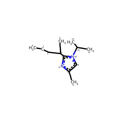 CCCC(C)c1nc(C)cn1C(C)C